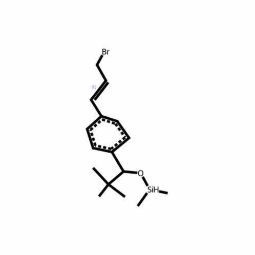 C[SiH](C)OC(c1ccc(/C=C/CBr)cc1)C(C)(C)C